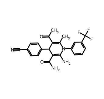 CC(=O)C1=C(C)N(c2cccc(C(F)(F)F)c2)C(N)=C(C(N)=O)C1c1ccc(C#N)cc1